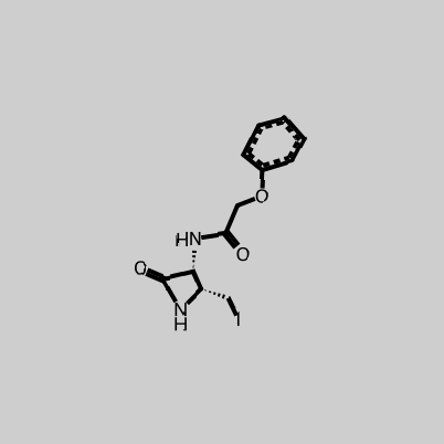 O=C(COc1ccccc1)N[C@H]1C(=O)N[C@H]1CI